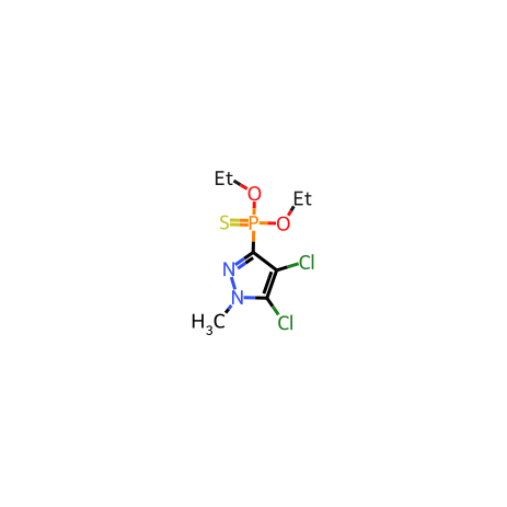 CCOP(=S)(OCC)c1nn(C)c(Cl)c1Cl